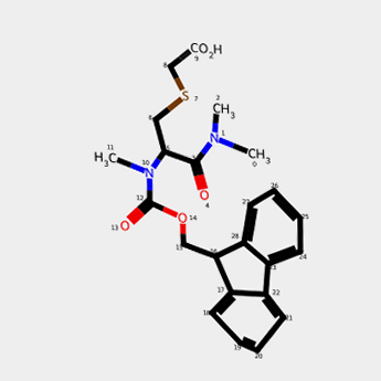 CN(C)C(=O)C(CSCC(=O)O)N(C)C(=O)OCC1c2ccccc2-c2ccccc21